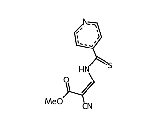 COC(=O)/C(C#N)=C\NC(=S)c1ccncc1